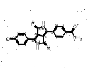 NC(=O)c1ccc(C2=C3C(=O)NC(c4ccc(Cl)cc4)=C3C(=O)N2)cc1